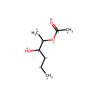 CCCC(O)C(C)OC(C)=O